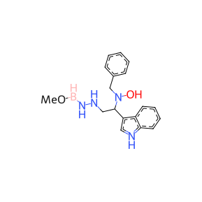 COBNNCC(c1c[nH]c2ccccc12)N(O)Cc1ccccc1